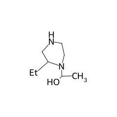 CCC1CNCCN1C(C)O